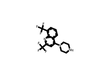 FC(F)(F)c1cc(N2CCNCC2)c2cccc(C(F)(F)F)c2n1